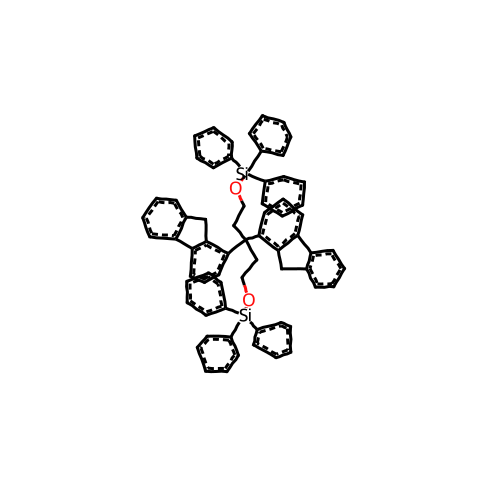 c1ccc([Si](OCCC(CCO[Si](c2ccccc2)(c2ccccc2)c2ccccc2)(c2cccc3c2Cc2ccccc2-3)c2cccc3c2Cc2ccccc2-3)(c2ccccc2)c2ccccc2)cc1